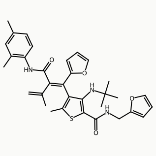 C=C(C)/C(C(=O)Nc1ccc(C)cc1C)=C(/c1ccco1)c1c(C)sc(C(=O)NCc2ccco2)c1NC(C)(C)C